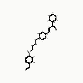 C=Cc1ccc(OCCCCc2ccc(/C=C/C(=O)c3ccccc3)cc2)cc1